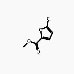 COC(=O)c1ccc(Cl)o1